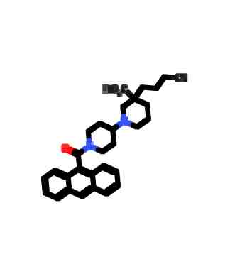 CCOC(=O)C1(CCCC#N)CCCN(C2CCN(C(=O)c3c4ccccc4cc4ccccc34)CC2)C1